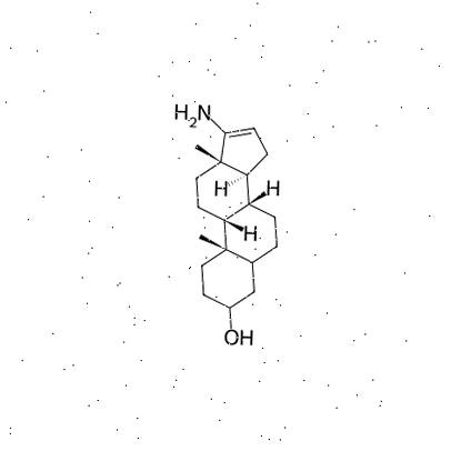 C[C@]12CCC(O)CC1CC[C@@H]1[C@H]2CC[C@]2(C)C(N)=CC[C@@H]12